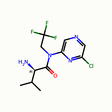 CC(C)[C@@H](N)C(=O)N(CC(F)(F)F)c1cncc(Cl)n1